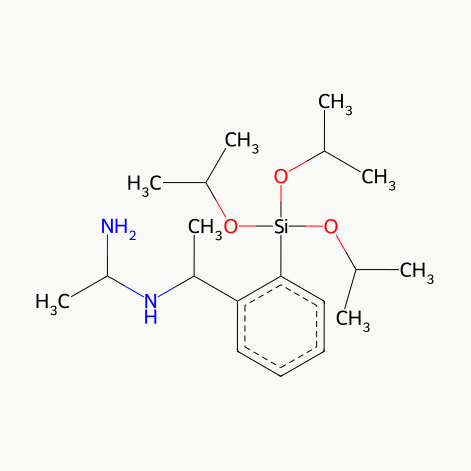 CC(N)NC(C)c1ccccc1[Si](OC(C)C)(OC(C)C)OC(C)C